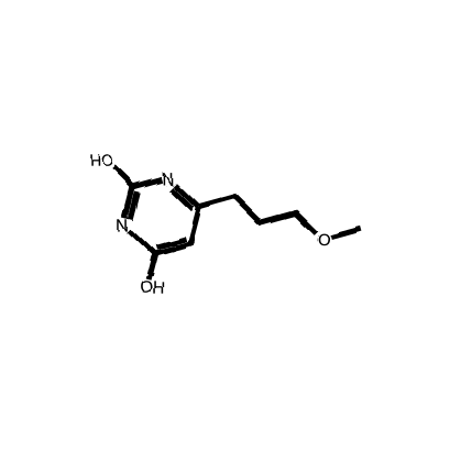 COCCCc1cc(O)nc(O)n1